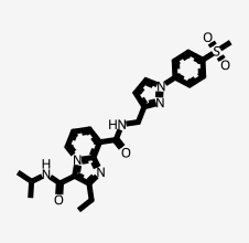 CCc1nc2c(C(=O)NCc3ccn(-c4ccc(S(C)(=O)=O)cc4)n3)cccn2c1C(=O)NC(C)C